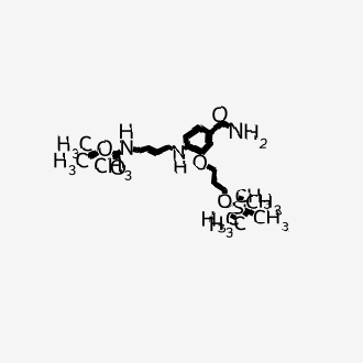 CC(C)(C)OC(=O)NCC=CCNc1ccc(C(N)=O)cc1OCCCO[Si](C)(C)C(C)(C)C